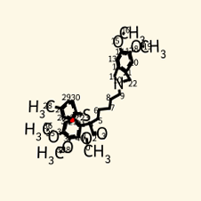 COC(=O)C(CCCCCN1Cc2cc(OC)c(OC)cc2C1)(Sc1ccc(C)cc1)c1ccc(OC)c(OC)c1